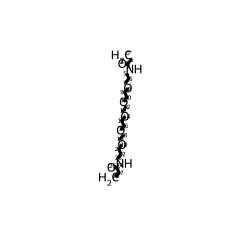 C=CC(=O)NCCCOCCOCCOCCOCCOCCCNC(=O)C=C